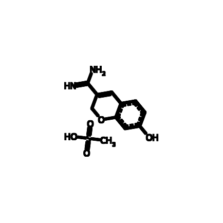 CS(=O)(=O)O.N=C(N)C1=Cc2ccc(O)cc2OC1